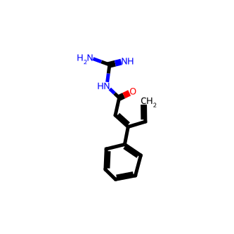 C=CC(=CC(=O)NC(=N)N)c1ccccc1